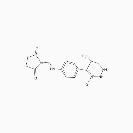 CC1CNN[N+]([O-])=C1c1ccc(NCN2C(=O)CCC2=O)cc1